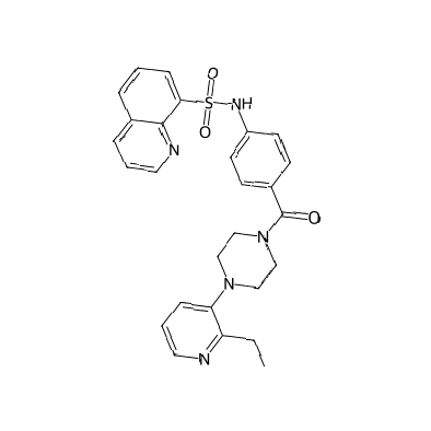 CCc1ncccc1N1CCN(C(=O)c2ccc(NS(=O)(=O)c3cccc4cccnc34)cc2)CC1